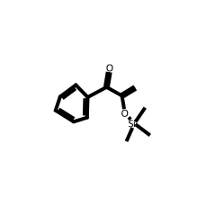 C=C(O[Si](C)(C)C)C(=O)c1ccccc1